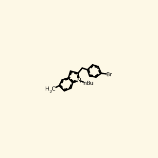 CCCCn1c(Cc2ccc(Br)cc2)cc2cc(C)ccc21